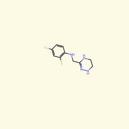 Fc1ccc(NCC2=NNCCN2)c(F)c1